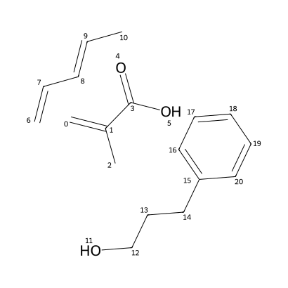 C=C(C)C(=O)O.C=CC=CC.OCCCc1ccccc1